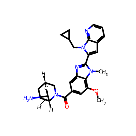 COc1cc(C(=O)N2C[C@H]3CC[C@@H]2[C@@H](N)C3)cc2nc(-c3cc4cccnc4n3CC3CC3)n(C)c12